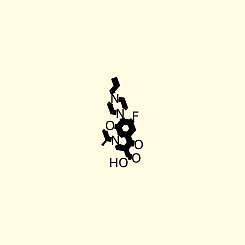 C=CCN1CCN(c2c(F)cc3c(=O)c(C(=O)O)cn4c3c2OC[C@@H]4C)CC1